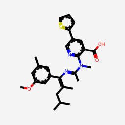 COc1cc(C)cc(C(/N=C(\C)N(C)c2ncc(-c3cccs3)cc2C(=O)O)=C(/C)CC(C)C)c1